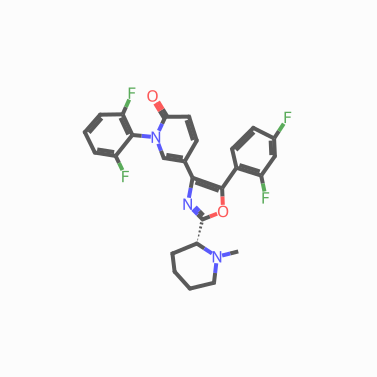 CN1CCCC[C@@H]1c1nc(-c2ccc(=O)n(-c3c(F)cccc3F)c2)c(-c2ccc(F)cc2F)o1